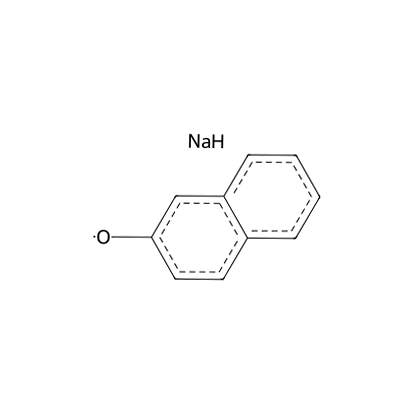 [NaH].[O]c1ccc2ccccc2c1